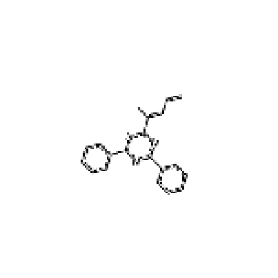 C=C/C=C(\C)c1nc(-c2ccccc2)nc(-c2ccccc2)n1